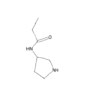 CCC(=O)NC1CCNC1